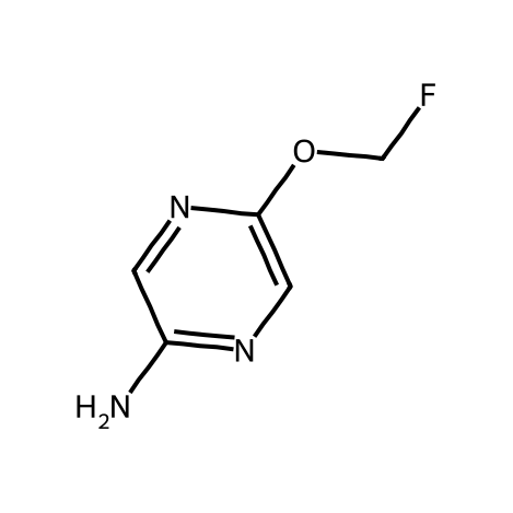 Nc1cnc(OCF)cn1